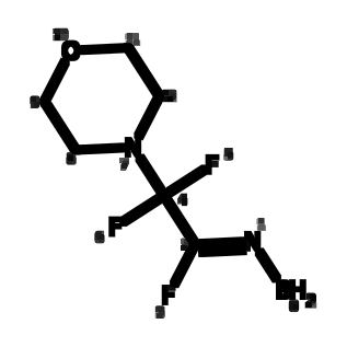 B/N=C(\F)C(F)(F)N1CCOCC1